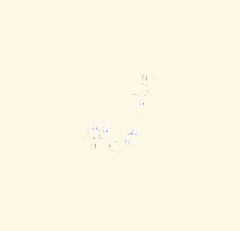 CCC1(c2cccc(N3CCCN(CCC4CCN(c5ccc([N+](=O)[O-])cc5F)CC4)C3=O)c2)CNc2nccc(Cl)c21